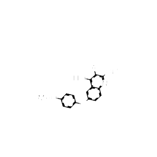 COc1ccc(Oc2ccc3nc(O)c(C(C)=O)c(O)c3c2)cc1